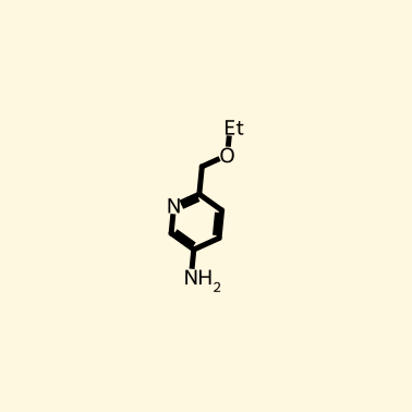 CCOCc1ccc(N)cn1